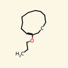 CCCOC1=CCCCCCCCCCC1